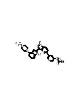 CCC(=O)Nc1cncc(-c2ccc3[nH]nc(-c4cc5c(N6CCN(C)CC6)cccc5[nH]4)c3n2)c1